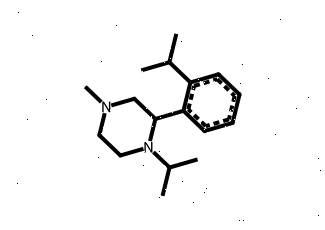 CC(C)c1ccccc1C1CN(C)CCN1C(C)C